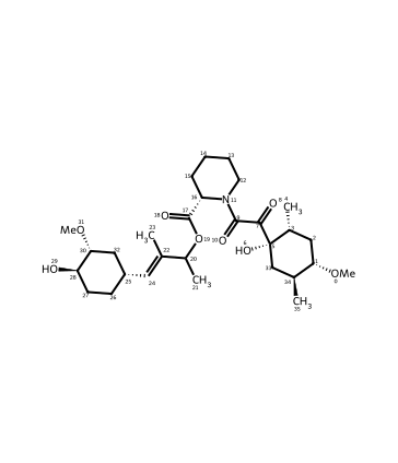 CO[C@H]1C[C@@H](C)[C@](O)(C(=O)C(=O)N2CCCC[C@H]2C(=O)OC(C)/C(C)=C/[C@@H]2CC[C@@H](O)[C@H](OC)C2)C[C@@H]1C